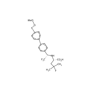 COOSc1ccc(-c2ccc([C@H](N[C@@H](CC(C)(C)F)C(=O)O)C(F)(F)F)cc2)cc1